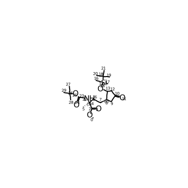 COC(=O)[C@](C)(CC[C@@H]1CC(=O)CC1O[Si](C)(C)C(C)(C)C)NC(=O)OC(C)(C)C